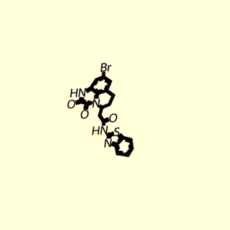 O=C(CC1CCc2cc(Br)cc3[nH]c(=O)c(=O)n1c23)Nc1nc2ccccc2s1